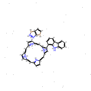 C1=Cc2cc3cc(-c4cccc5c4[nH]c4ccccc45)c(cc4nc(cc5ccc(cc1n2)[nH]5)C=C4)[nH]3.c1cc2snnc2s1